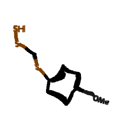 COc1ccc(SCSS)cc1